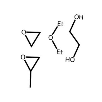 C1CO1.CC1CO1.CCOCC.OCCO